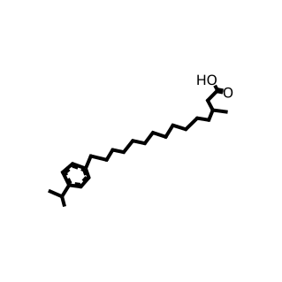 CC(CCCCCCCCCCCCc1ccc(C(C)C)cc1)CC(=O)O